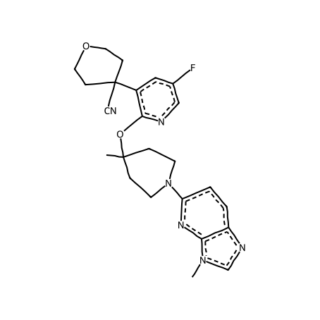 Cn1cnc2ccc(N3CCC(C)(Oc4ncc(F)cc4C4(C#N)CCOCC4)CC3)nc21